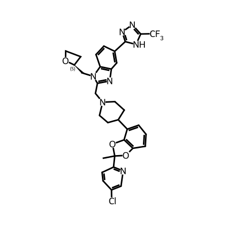 CC1(c2ccc(Cl)cn2)Oc2cccc(C3CCN(Cc4nc5cc(-c6nnc(C(F)(F)F)[nH]6)ccc5n4C[C@@H]4CCO4)CC3)c2O1